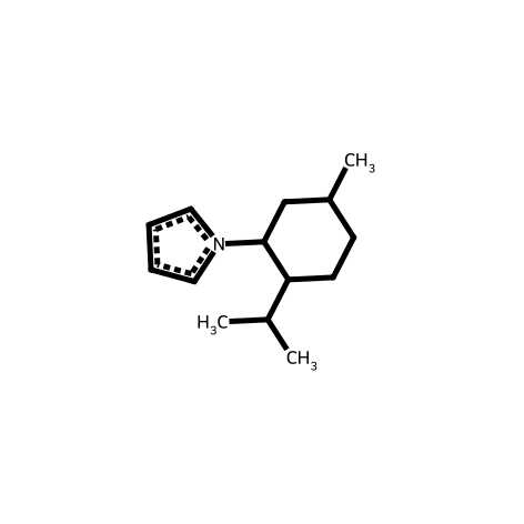 CC1CCC(C(C)C)C(n2cccc2)C1